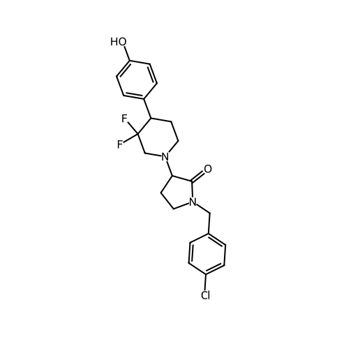 O=C1C(N2CCC(c3ccc(O)cc3)C(F)(F)C2)CCN1Cc1ccc(Cl)cc1